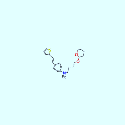 CCN(CCCCOC1CCCCO1)c1ccc(C=Cc2cccs2)cc1